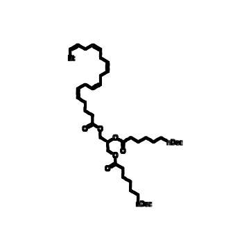 CC/C=C\C/C=C\C/C=C\C/C=C\C/C=C\CCCC(=O)OC[C@H](COC(=O)CCCCCCCCCCCCCCC)OC(=O)CCCCCCCCCCCCCCC